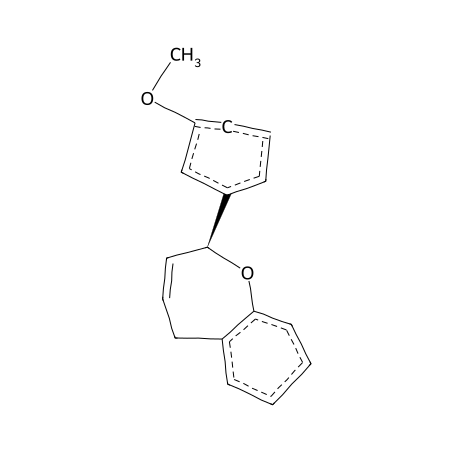 COc1cccc([C@@H]2C=CCc3ccccc3O2)c1